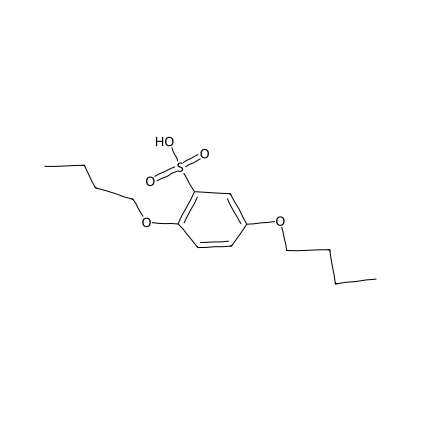 CCCCOc1ccc(OCCCC)c(S(=O)(=O)O)c1